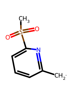 [CH2]c1cccc(S(C)(=O)=O)n1